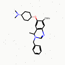 COc1cc2c(cc1O[C@H]1CC[C@@H](N(C)C)CC1)C(C)N(Cc1ccccc1)C=N2